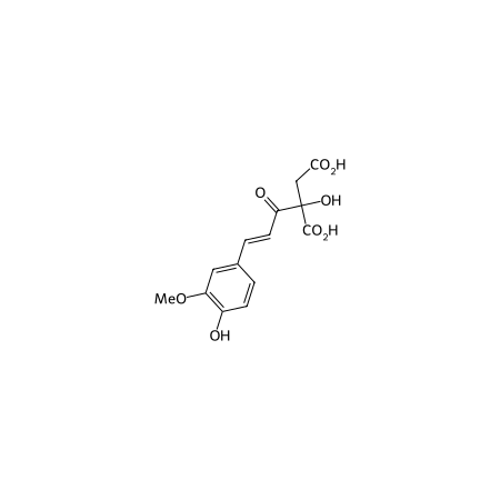 COc1cc(C=CC(=O)C(O)(CC(=O)O)C(=O)O)ccc1O